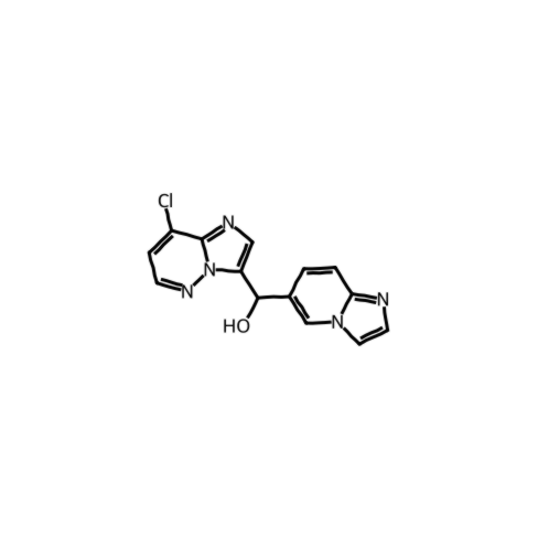 OC(c1ccc2nccn2c1)c1cnc2c(Cl)ccnn12